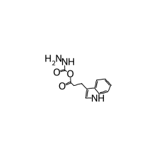 NNC(=O)OC(=O)CCc1c[nH]c2ccccc12